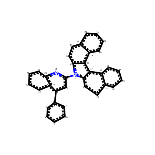 c1ccc(-c2cc(-n3c4ccc5ccccc5c4c4c5ccccc5ccc43)nc3ccccc23)cc1